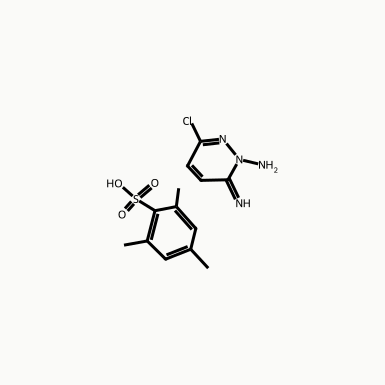 Cc1cc(C)c(S(=O)(=O)O)c(C)c1.N=c1ccc(Cl)nn1N